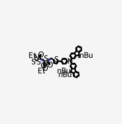 CCCCC1(C)c2ccccc2-c2ccc(N(c3ccc(-c4ccc(/C=c5/s/c(=C6/SC(=S)N(CC)C6=O)n(OOCC)c5=O)s4)cc3)c3ccc4c(c3)C(CCCC)(CCCC)c3ccccc3-4)cc21